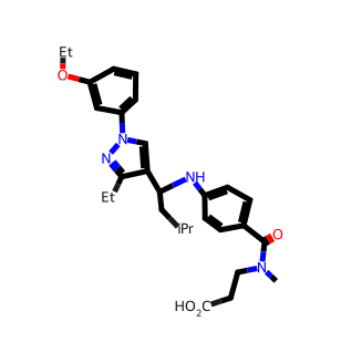 CCOc1cccc(-n2cc(C(CC(C)C)Nc3ccc(C(=O)N(C)CCC(=O)O)cc3)c(CC)n2)c1